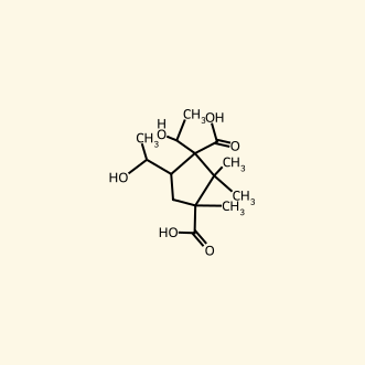 CC(O)C1CC(C)(C(=O)O)C(C)(C)C1(C(=O)O)C(C)O